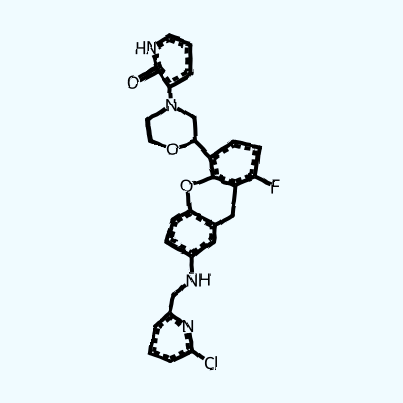 O=c1[nH]cccc1N1CCOC(c2ccc(F)c3c2Oc2ccc(NCc4cccc(Cl)n4)cc2C3)C1